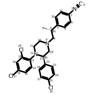 [C-]#[N+]c1ccc([C@@H](C)CN2CCN(c3ccc(Cl)cc3Cl)[C@H](c3ccc(Cl)cc3)C2)cc1